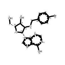 OC[C@H]1O[C@@H](n2cnc3c(O)ncnc32)C(OCc2ccc(Br)cc2)C1O